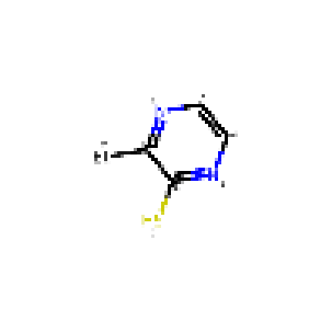 CCc1nccnc1S